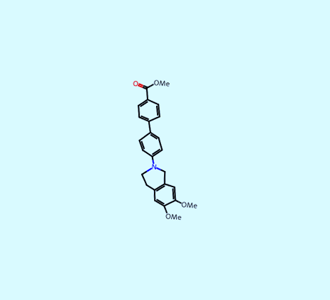 COC(=O)c1ccc(-c2ccc(N3CCc4cc(OC)c(OC)cc4C3)cc2)cc1